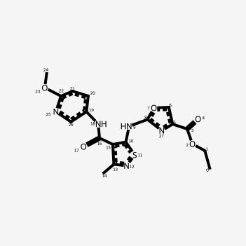 CCOC(=O)c1coc(Nc2snc(C)c2C(=O)Nc2ccc(OC)nc2)n1